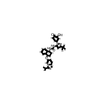 CC(C)c1nnc2ccc(O[C@@H]3CC[C@H](NC(=O)Nc4cc(C(C)(C)C)nn4-c4ccc(Cl)c(O)c4)c4ccccc43)cn12